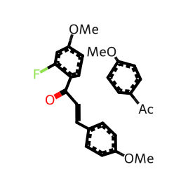 COc1ccc(C(C)=O)cc1.COc1ccc(C=CC(=O)c2ccc(OC)cc2F)cc1